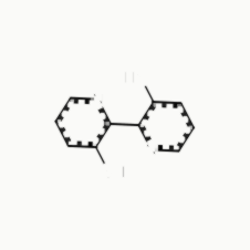 Sc1cccnc1-c1ncccc1S